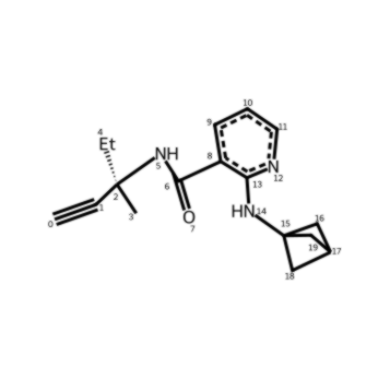 C#C[C@@](C)(CC)NC(=O)c1cccnc1NC12CC(C1)C2